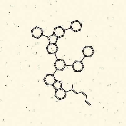 C=C/C=C\C=C(/C)c1cccc2c1sc1c(-c3cc(-c4cccc(-c5ccccc5)c4)cc(-c4ccc5c(c4)c4cc(-c6ccccc6)ccc4n5-c4ccccc4)c3)cccc12